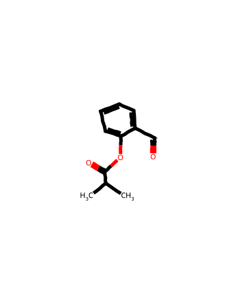 CC(C)C(=O)Oc1ccccc1[C]=O